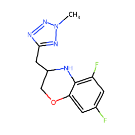 Cn1nnc(CC2COc3cc(F)cc(F)c3N2)n1